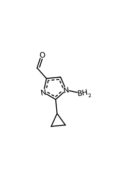 Bn1cc(C=O)nc1C1CC1